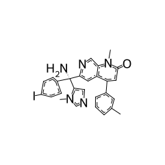 Cc1cccc(-c2cc(=O)n(C)c3cnc([C@](N)(c4ccc(I)cc4)c4cncn4C)cc23)c1